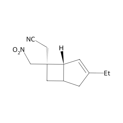 CCC1=C[C@@H]2C(C1)C[C@@]2(CC#N)C[N+](=O)[O-]